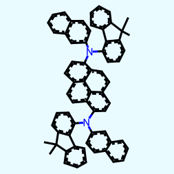 CC1(C)c2ccccc2-c2c(N(c3ccc4ccccc4c3)c3ccc4ccc5c(N(c6ccc7ccccc7c6)c6cccc7c6-c6ccccc6C7(C)C)ccc6ccc3c4c65)cccc21